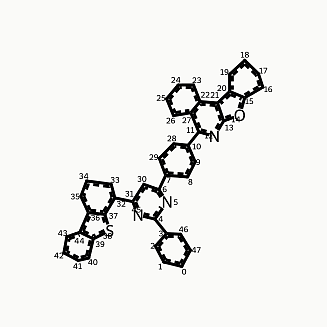 c1ccc(-c2nc(-c3ccc(-c4nc5oc6ccccc6c5c5ccccc45)cc3)cc(-c3cccc4c3sc3ccccc34)n2)cc1